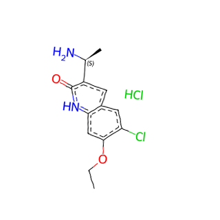 CCOc1cc2[nH]c(=O)c([C@H](C)N)cc2cc1Cl.Cl